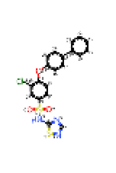 O=S(=O)(Nc1ncns1)c1ccc(Oc2ccc(-c3ccccc3)cc2)c(Cl)c1